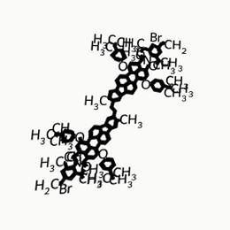 C=C(Br)c1cc(C(C)C)c(N2C(=O)c3cc(Oc4ccc(C(C)(C)C)cc4)c4c5ccc6c7c(ccc(c8c(Oc9ccc(C(C)(C)C)cc9)cc(c3c48)C2=O)c75)-c2cc(CCc3cc4c(cc3C)-c3ccc5c7c(Oc8ccc(C(C)(C)C)cc8)cc8c9c(cc(Oc%10ccc(C(C)(C)C)cc%10)c(c%10ccc-4c3c5%10)c97)C(=O)N(c3c(C(C)C)cc(C(=C)Br)cc3C(C)C)C8=O)c(C)cc2-6)c(C(C)C)c1